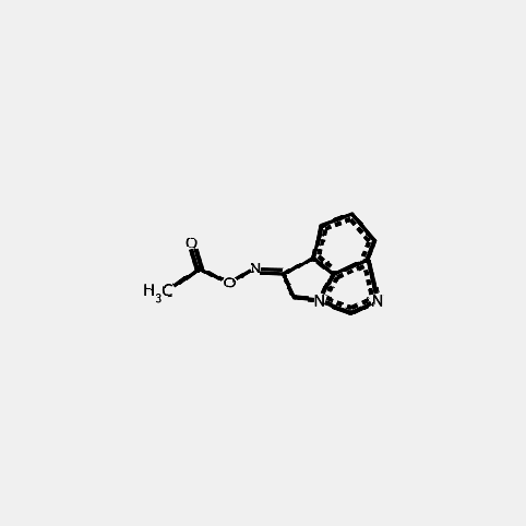 CC(=O)O/N=C1\Cn2cnc3cccc1c32